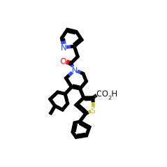 CC1CCC(C2=C(c3cc(-c4ccccc4)sc3C(=O)O)CCN(C(=O)Cc3ccccn3)C2)CC1